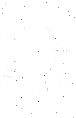 CCCCCCC(CCCCCCCI)C(=O)OCCCCCCN(CCCCO)CCCCCCOC(=O)C(SCCCCC)SCCCCC